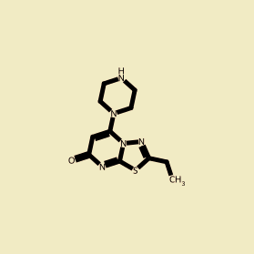 CCc1nn2c(N3CCNCC3)cc(=O)nc2s1